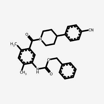 Cc1cc(C)c(C(=O)N2CCC(c3ccc(C#N)cc3)CC2)cc1NC(=O)OCc1ccccc1